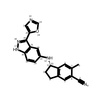 Cc1cc2c(cc1C#N)CC[C@@H]2Nc1ccc2[nH]nc(-c3cnco3)c2c1